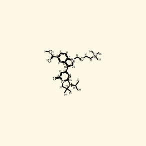 COC(=O)c1ccc2c(c1)c(-c1cc(=O)n3c(n1)N(C(C)C)C(C)(C)C3)cn2COCC[Si](C)(C)C